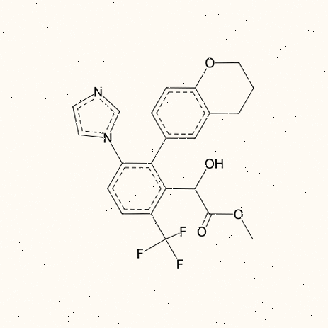 COC(=O)C(O)c1c(C(F)(F)F)ccc(-n2ccnc2)c1-c1ccc2c(c1)CCCO2